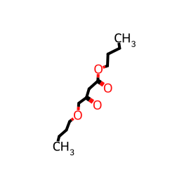 CCCCOCC(=O)CC(=O)OCCCC